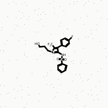 O=S(=O)(Nc1nn(CCCO)c(C(F)(F)F)c1-c1ccc(F)cc1)c1ccccc1